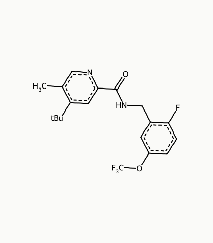 Cc1cnc(C(=O)NCc2cc(OC(F)(F)F)ccc2F)cc1C(C)(C)C